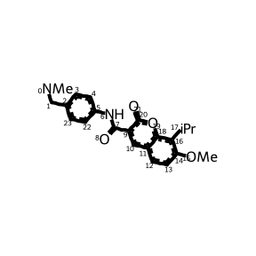 CNCc1ccc(NC(=O)c2cc3ccc(OC)c(C(C)C)c3oc2=O)cc1